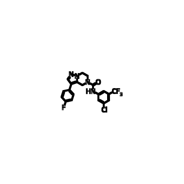 O=C(Nc1cc(Cl)cc(C(F)(F)F)c1)N1CCn2ncc(-c3ccc(F)cc3)c2C1